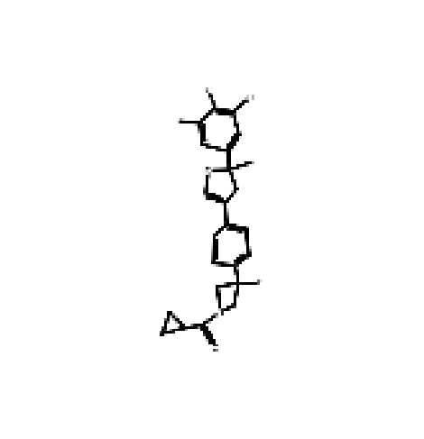 CC1(c2cc(Cl)c(Cl)c(Cl)c2)CC(c2ccc(C3(F)CN(C(=O)C4CC4)C3)cc2)=NO1